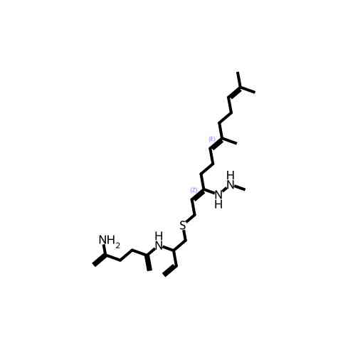 C=CC(CSC/C=C(/CC/C=C(\C)CCC=C(C)C)NNC)NC(=C)CCC(=C)N